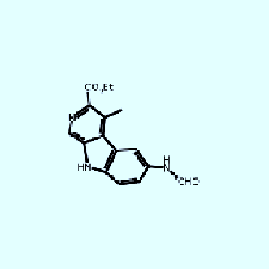 CCOC(=O)c1ncc2[nH]c3ccc(NC=O)cc3c2c1C